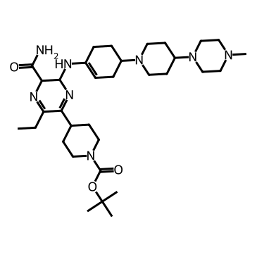 CCC1=NC(C(N)=O)C(NC2=CCC(N3CCC(N4CCN(C)CC4)CC3)CC2)N=C1C1CCN(C(=O)OC(C)(C)C)CC1